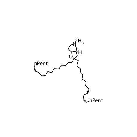 CCCCC/C=C\C/C=C\CCCCCCCCC1(CCCCCCCC/C=C\C/C=C\CCCCC)C[C@@H]2CN(C)CCC2O1